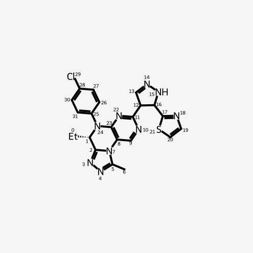 CC[C@H]1c2nnc(C)n2-c2cnc(C3C=NNC3c3nccs3)nc2N1c1ccc(Cl)cc1